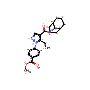 CCc1c(C(=O)NC2C3CCCC2CCC3)cnn1-c1ccc(C(=O)OC)cc1